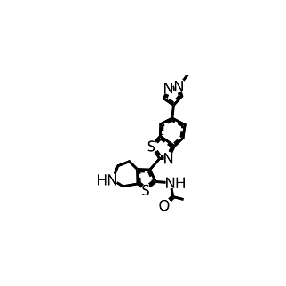 CC(=O)Nc1sc2c(c1-c1nc3ccc(-c4cnn(C)c4)cc3s1)CCNC2